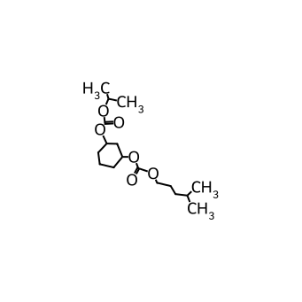 CC(C)CCCOC(=O)OC1CCCC(OC(=O)OC(C)C)C1